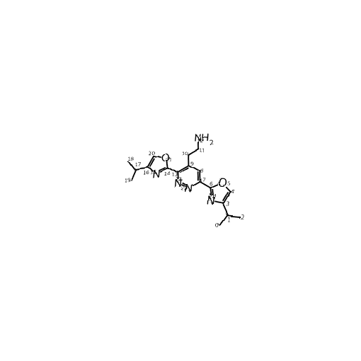 CC(C)c1coc(-c2cc(CCN)c(-c3nc(C(C)C)co3)nn2)n1